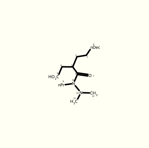 CCCCCCCCCCCCC(CC(=O)O)C(=O)N(CCC)N(C)C